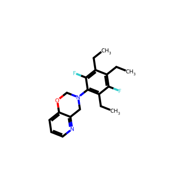 CCc1c(F)c(CC)c(N2COc3cccnc3C2)c(F)c1CC